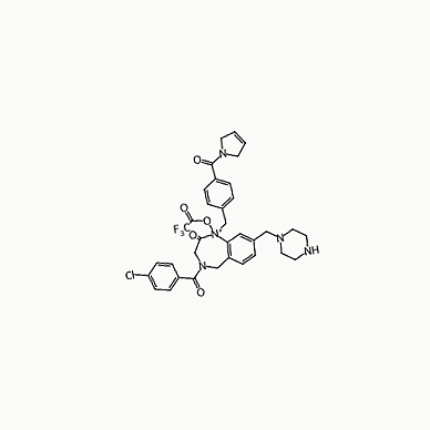 O=C(c1ccc(C[N+]2(OC(=O)C(F)(F)F)C(=O)CN(C(=O)c3ccc(Cl)cc3)Cc3ccc(CN4CCNCC4)cc32)cc1)N1CC=CC1